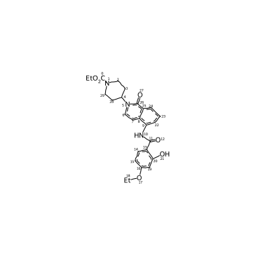 CCOC(=O)N1CCC(n2ccc3c(NC(=O)c4ccc(OCC)cc4O)cccc3c2=O)CC1